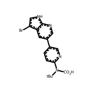 CC(C)(C)N(C(=O)O)c1ccc(-c2cnc3[nH]cc(Br)c3c2)cn1